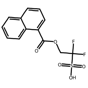 O=C(OCC(F)(F)S(=O)(=O)O)c1cccc2ccccc12